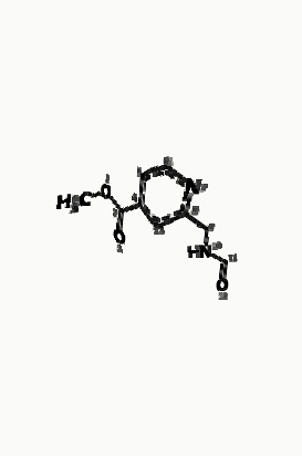 COC(=O)c1ccnc(CNC=O)c1